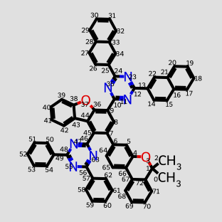 CC1(C)Oc2cc(-c3cc(-c4nc(-c5ccc6ccccc6c5)nc(-c5ccc6ccccc6c5)n4)c4oc5ccccc5c4c3-c3nc(-c4ccccc4)nc(-c4ccccc4)n3)ccc2-c2ccccc21